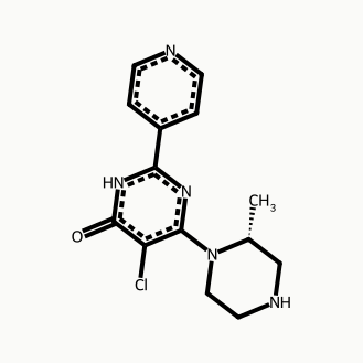 C[C@@H]1CNCCN1c1nc(-c2ccncc2)[nH]c(=O)c1Cl